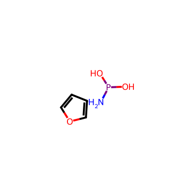 NP(O)O.c1ccoc1